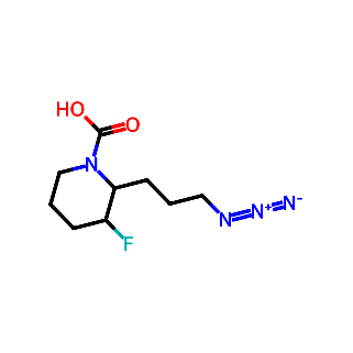 [N-]=[N+]=NCCCC1C(F)CCCN1C(=O)O